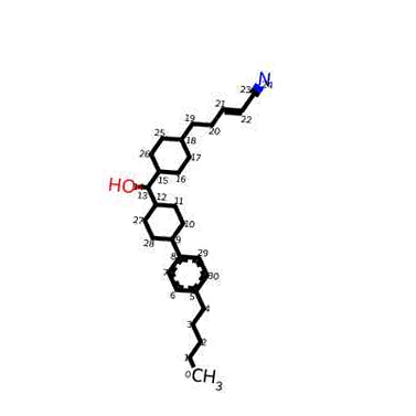 CCCCCc1ccc(C2CCC(C(O)C3CCC(CCC=CC#N)CC3)CC2)cc1